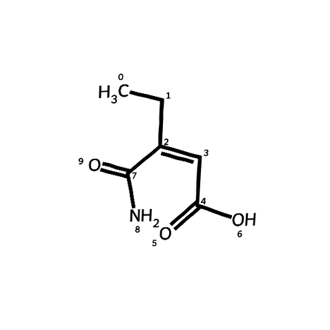 CCC(=CC(=O)O)C(N)=O